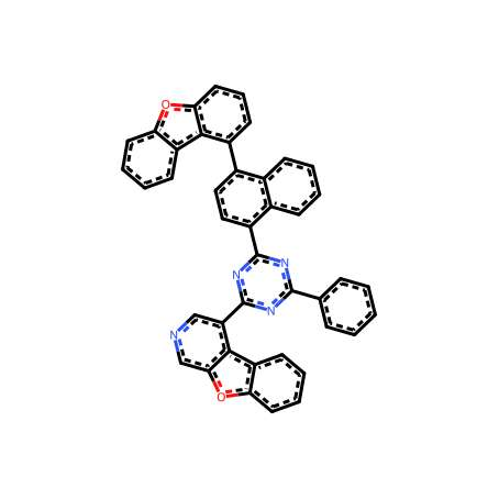 c1ccc(-c2nc(-c3ccc(-c4cccc5oc6ccccc6c45)c4ccccc34)nc(-c3cncc4oc5ccccc5c34)n2)cc1